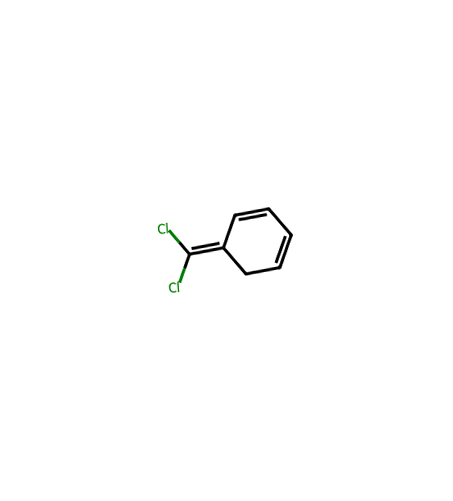 ClC(Cl)=C1C=CC=CC1